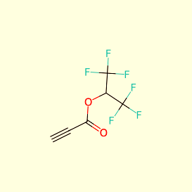 C#CC(=O)OC(C(F)(F)F)C(F)(F)F